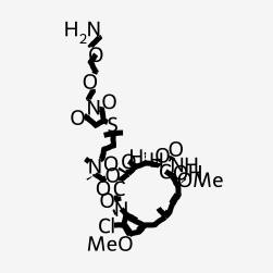 COc1cc2cc(c1Cl)N(C)C(=O)C[C@H](OC(=O)[C@H](C)N(C)C(=O)CCC(C)(C)SC1CC(=O)N(CCOCCOCCN)C1=O)[C@]1(C)O[C@H]1[C@H](C)[C@@H]1C[C@@](O)(NC(=O)O1)[C@H](OC)/C=C/C=C(\C)C2